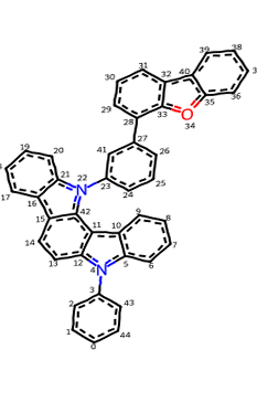 c1ccc(-n2c3ccccc3c3c2ccc2c4ccccc4n(-c4cccc(-c5cccc6c5oc5ccccc56)c4)c23)cc1